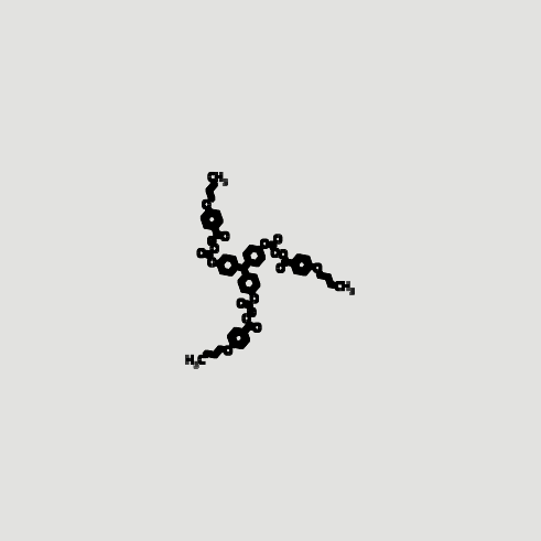 CCCCOc1ccc(C(=O)OOC(=O)OC2CCC(C(C3CCC(OC(=O)OOC(=O)c4ccc(OCCCC)cc4)CC3)C3CCC(OC(=O)OOC(=O)c4ccc(OCCCC)cc4)CC3)CC2)cc1